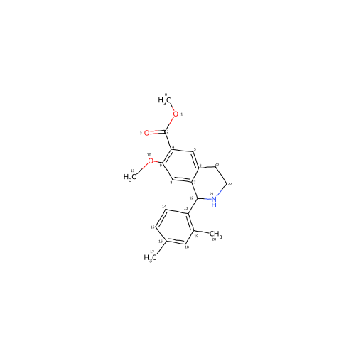 COC(=O)c1cc2c(cc1OC)C(c1ccc(C)cc1C)NCC2